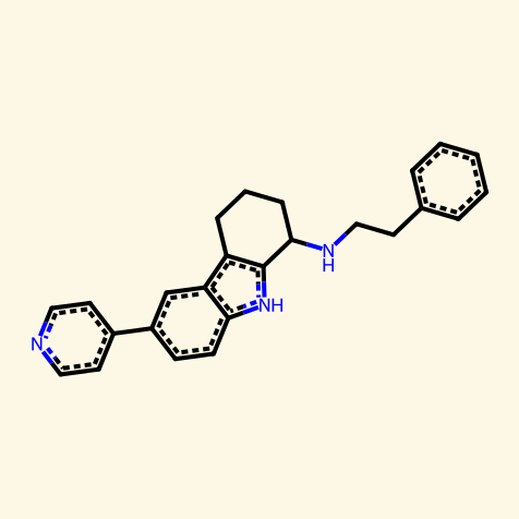 c1ccc(CCNC2CCCc3c2[nH]c2ccc(-c4ccncc4)cc32)cc1